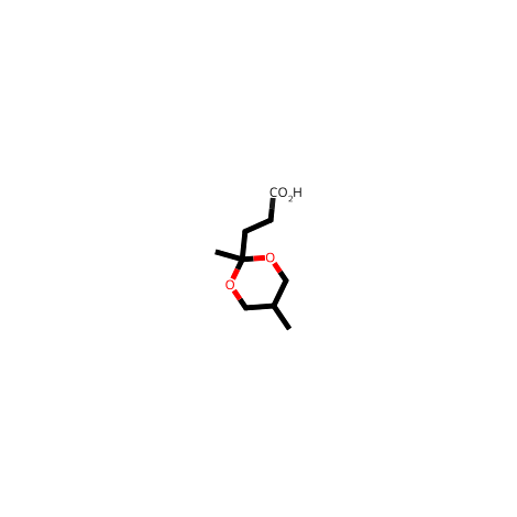 CC1COC(C)(CCC(=O)O)OC1